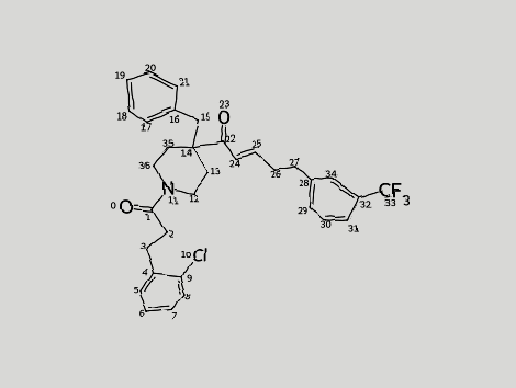 O=C(CCc1ccccc1Cl)N1CCC(Cc2ccccc2)(C(=O)/C=C/CCc2cccc(C(F)(F)F)c2)CC1